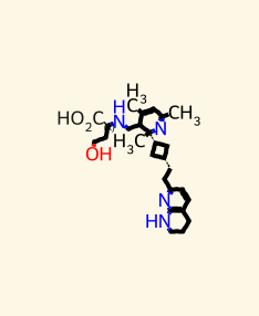 CC1=CC(C)=NC(C)([C@H]2C[C@@H](CCc3ccc4c(n3)NCCC4)C2)C1CN[C@H](CCO)C(=O)O